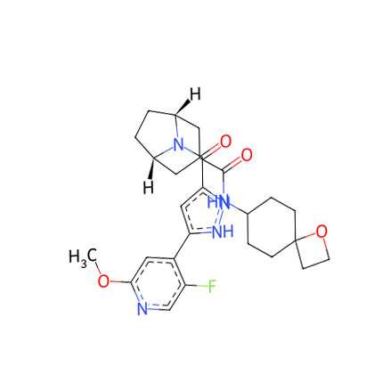 COc1cc(-c2cc(C(=O)N3[C@@H]4CC[C@H]3CC(C(=O)NC3CCC5(CCO5)CC3)C4)n[nH]2)c(F)cn1